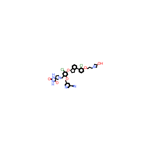 N#Cc1cncc(COc2cc(O[C@H]3CCc4c(-c5cccc(OCCCN6CC(O)C6)c5Cl)cccc43)c(Cl)cc2CN2CCC3(C2)NC(=O)NC3=O)c1